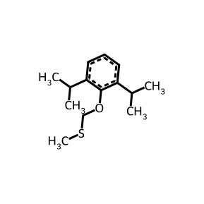 CSCOc1c(C(C)C)cccc1C(C)C